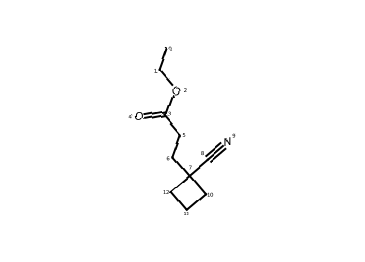 CCOC(=O)CCC1(C#N)CCC1